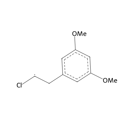 COc1cc(C[CH]Cl)cc(OC)c1